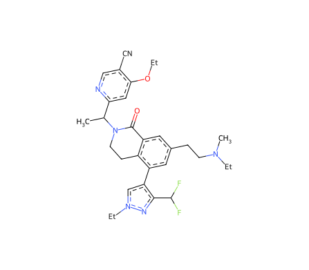 CCOc1cc(C(C)N2CCc3c(cc(CCN(C)CC)cc3-c3cn(CC)nc3C(F)F)C2=O)ncc1C#N